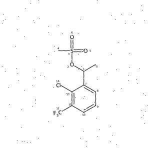 CC(OS(C)(=O)=O)c1cccc(C(F)(F)F)c1Cl